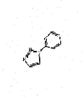 c1cc(-n2ccnn2)ccn1